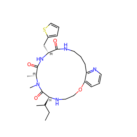 CCC(C)[C@@H]1NCCOc2cccnc2CCCNC(=O)[C@@H](Cc2cccs2)NC(=O)[C@@H](C)N(C)C1=O